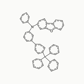 c1ccc(N(c2cccc(-c3ccc(C(c4ccccc4)(c4ccccc4)c4ccccc4)cc3)c2)c2ccc3c(c2)oc2ccccc23)cc1